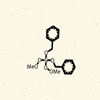 COO[Si](OCc1ccccc1)(OCc1ccccc1)OOC